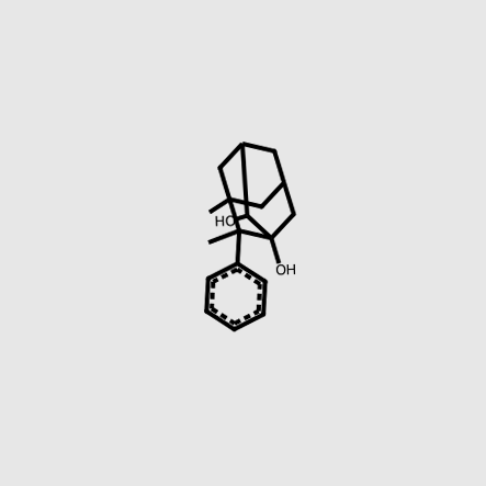 CC12CC3CC(C1)C(O)C(O)(C3)C2(C)c1ccccc1